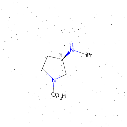 CC(C)N[C@@H]1CCN(C(=O)O)C1